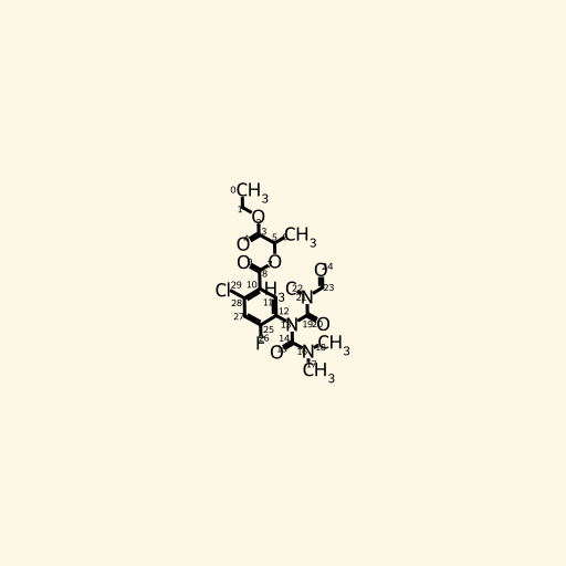 CCOC(=O)C(C)OC(=O)c1cc(N(C(=O)N(C)C)C(=O)N(C)C=O)c(F)cc1Cl